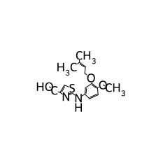 COc1ccc(Nc2nc(CO)cs2)cc1OCC=C(C)C